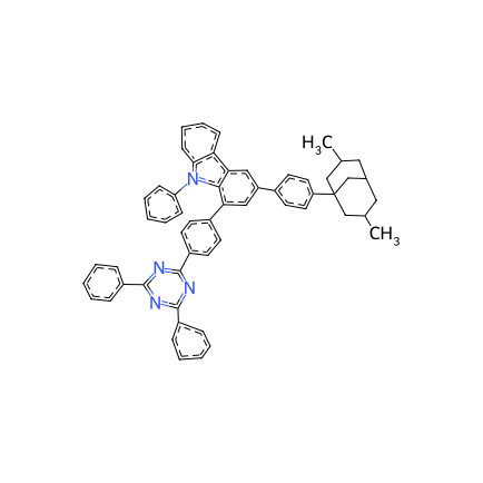 CC1CC2CC(C)CC(c3ccc(-c4cc(-c5ccc(-c6nc(-c7ccccc7)nc(-c7ccccc7)n6)cc5)c5c(c4)c4ccccc4n5-c4ccccc4)cc3)(C1)C2